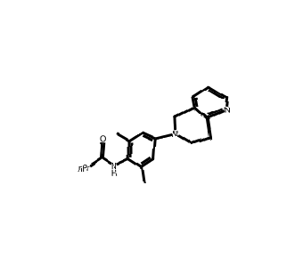 CCCC(=O)Nc1c(C)cc(N2CCc3ncccc3C2)cc1C